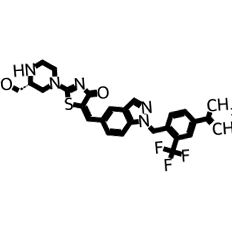 C=C(C)c1ccc(Cn2ncc3cc(C=C4SC(N5CCN[C@@H](CO)C5)=NC4=O)ccc32)c(C(F)(F)F)c1